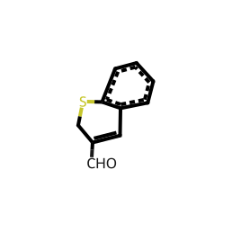 O=CC1=Cc2ccccc2SC1